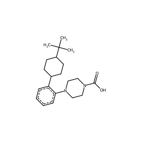 CC(C)(C)C1CCC(c2ccccc2N2CCN(C(=O)O)CC2)CC1